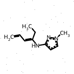 C=C/C=C(\CC)Nc1ccn(C)n1